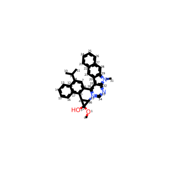 COC1(O)C2c3c(cc(C(C)C)c4ccccc34)-c3c4c5cc6ccccc6cc5n(C)c4nc[n+]3C21